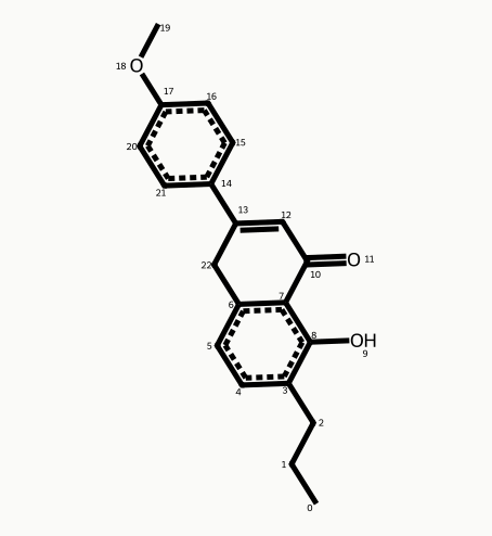 CCCc1ccc2c(c1O)C(=O)C=C(c1ccc(OC)cc1)C2